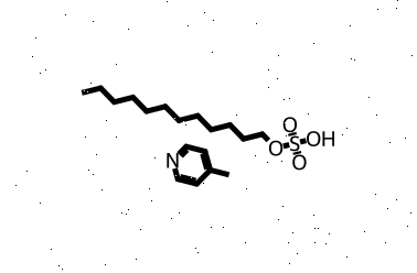 CCCCCCCCCCCCOS(=O)(=O)O.Cc1ccncc1